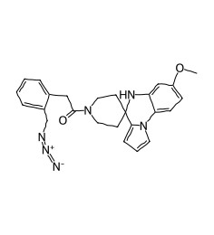 COc1ccc2c(c1)NC1(CCN(C(=O)Cc3ccccc3CN=[N+]=[N-])CC1)c1cccn1-2